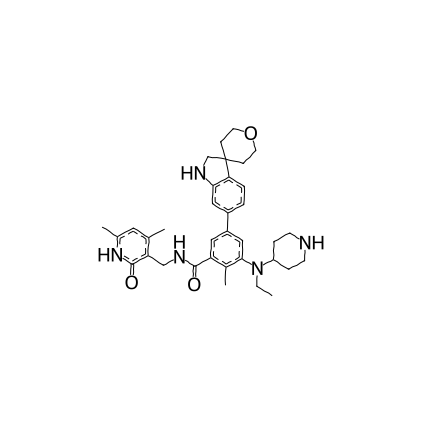 CCN(c1cc(-c2ccc3c(c2)NCC32CCOCC2)cc(C(=O)NCc2c(C)cc(C)[nH]c2=O)c1C)C1CCNCC1